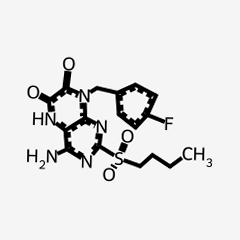 CCCCS(=O)(=O)c1nc(N)c2[nH]c(=O)c(=O)n(Cc3ccc(F)cc3)c2n1